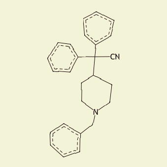 N#CC(c1ccccc1)(c1ccccc1)C1CCN(Cc2ccccc2)CC1